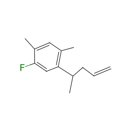 C=CCC(C)c1cc(F)c(C)cc1C